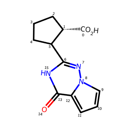 O=C(O)[C@H]1CCCC1c1nn2cccc2c(=O)[nH]1